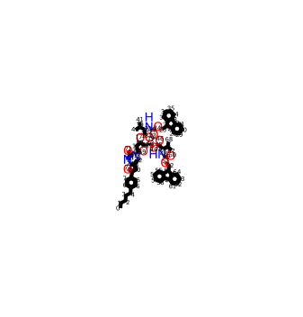 CCCCCc1ccc(-c2cc3cn([C@H]4C[C@@H](OC(=O)C(NC(=O)OCC5c6ccccc6-c6ccccc65)C(C)C)[C@@H](COC(=O)C(NC(=O)OCC5c6ccccc6-c6ccccc65)C(C)C)O4)c(=O)nc3o2)cc1